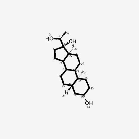 C[C@H](O)[C@@]1(O)CCC2C3CC[C@H]4C[C@@H](O)CC[C@]4(C)C3CC[C@@]21C